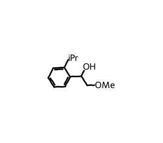 COCC(O)c1ccccc1C(C)C